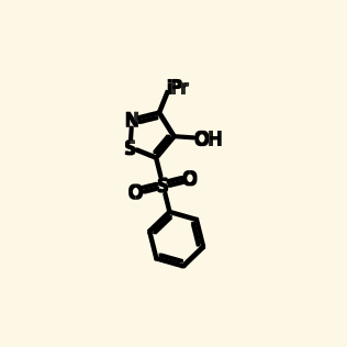 CC(C)c1nsc(S(=O)(=O)c2ccccc2)c1O